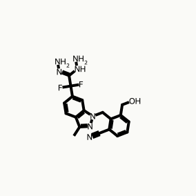 Cc1nn(Cc2c(C#N)cccc2CO)c2cc(C(F)(F)/C(=N/N)NN)ccc12